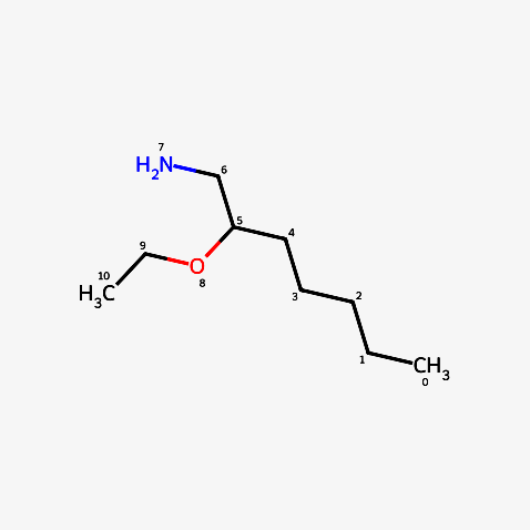 CCCCCC(CN)OCC